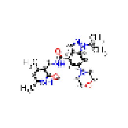 Cc1cc(C)c(CNC(=O)c2cc(N3CCOCC3)cc3c2cnn3C(C)C)c(=O)[nH]1